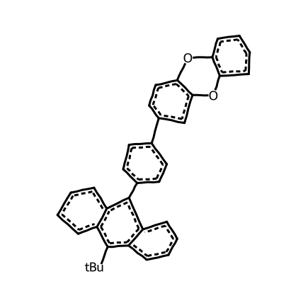 CC(C)(C)c1c2ccccc2c(-c2ccc(-c3ccc4c(c3)Oc3ccccc3O4)cc2)c2ccccc12